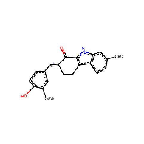 COc1ccc2c3c([nH]c2c1)C(=O)/C(=C/c1ccc(O)c(OC)c1)CC3